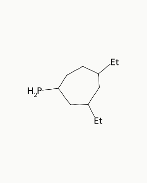 CCC1CCC(P)CC(CC)C1